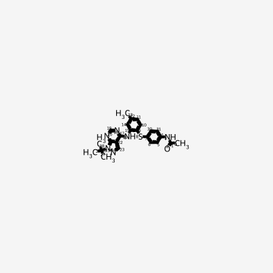 CC(=O)Nc1ccc(Sc2ccc(C)cc2Nc2ncnc3c2cnn3C(C)(C)C)cc1